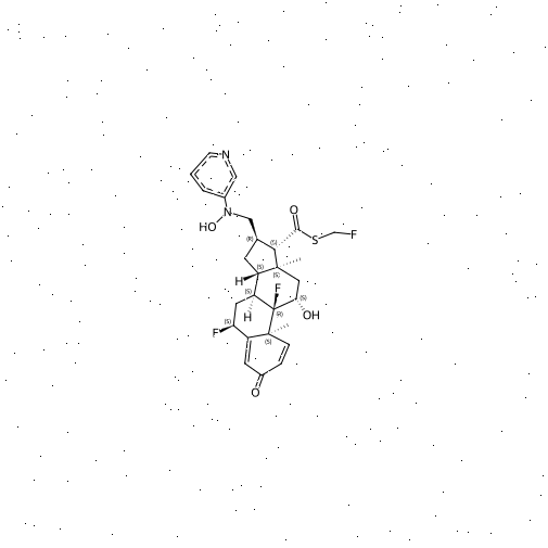 C[C@]12C[C@H](O)[C@@]3(F)[C@@H](C[C@H](F)C4=CC(=O)C=C[C@@]43C)[C@@H]1C[C@@H](CN(O)c1cccnc1)[C@@H]2C(=O)SCF